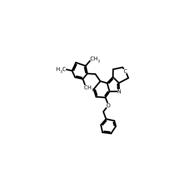 Cc1cc(C)c(CC2C=CC(OCc3ccccc3)=C3N=C4CCCCC4=C32)c(C)c1